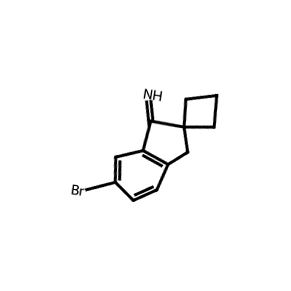 N=C1c2cc(Br)ccc2CC12CCC2